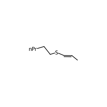 CC=CSCCCCC